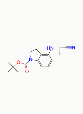 CC(C)(C#N)Nc1cccc2c1CCN2C(=O)OC(C)(C)C